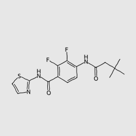 CC(C)(C)CC(=O)Nc1ccc(C(=O)Nc2nccs2)c(F)c1F